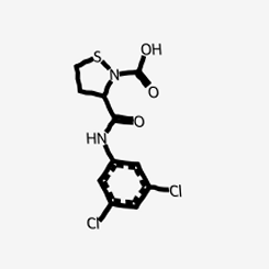 O=C(Nc1cc(Cl)cc(Cl)c1)C1CCSN1C(=O)O